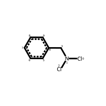 ClN(Cl)Cc1ccccc1